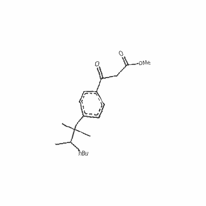 CCCCC(C)C(C)(C)c1ccc(C(=O)CC(=O)OC)cc1